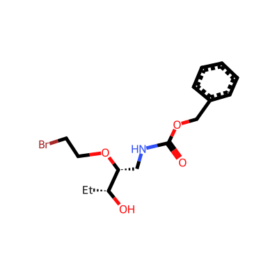 CC[C@@H](O)[C@@H](CNC(=O)OCc1ccccc1)OCCBr